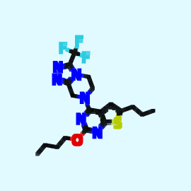 CCCCOc1nc(N2CCn3c(nnc3C(F)(F)F)C2)c2cc(CCC)sc2n1